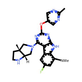 CNc1cc(F)cc2c1[nH]c1nc(Oc3cnc(C)nc3)nc(N3C[C@@H]4NCC[C@]4(C)C3)c12